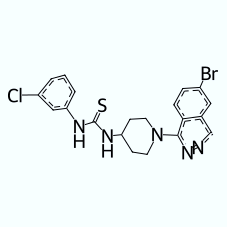 S=C(Nc1cccc(Cl)c1)NC1CCN(c2nncc3cc(Br)ccc23)CC1